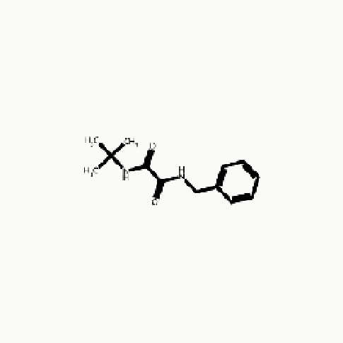 CC(C)(C)NC(=O)C(=O)NCc1ccccc1